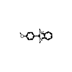 COc1ccc(-c2n(C)c3ccccc3[n+]2C)cc1